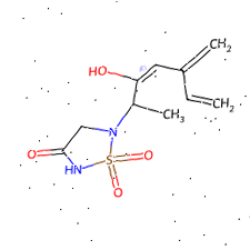 C=CC(=C)/C=C(/O)C(C)N1CC(=O)NS1(=O)=O